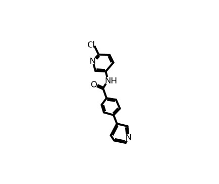 O=C(Nc1ccc(Cl)nc1)c1ccc(-c2cccnc2)cc1